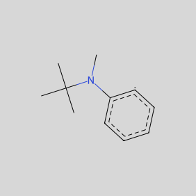 CN(c1[c]cccc1)C(C)(C)C